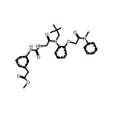 COC(=O)Cc1cccc(NC(=O)NCC(=O)N(CC(C)(C)C)c2ccccc2OCC(=O)N(C)c2ccccc2)c1